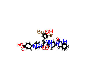 O=C(O)C1CCC(N2CCN(C(=O)[C@@H](Cc3cc(Br)c(O)c(Br)c3)NC(=O)N3CCC(N4Cc5ccccc5NC4=O)CC3)CC2)CC1